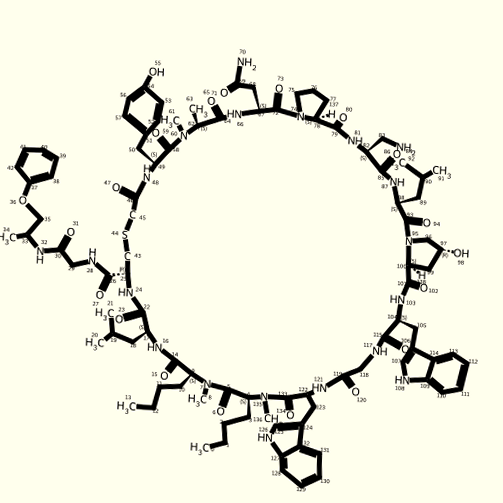 CCCC[C@H]1C(=O)N(C)[C@@H](CCCC)C(=O)N[C@@H](CC(C)C)C(=O)N[C@H](C(=O)NCC(=O)NC(C)COc2ccccc2)CSCC(=O)N[C@@H](Cc2ccc(O)cc2)C(=O)N(C)[C@@H](C)C(=O)N[C@@H](CC(N)=O)C(=O)N2CCC[C@H]2C(=O)N[C@@H](CN)C(=O)N[C@@H](CC(C)C)C(=O)N2C[C@H](O)C[C@H]2C(=O)N[C@@H](Cc2c[nH]c3ccccc23)C(=O)NCC(=O)NC(Cc2c[nH]c3ccccc23)C(=O)N1C